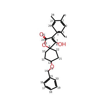 Cc1cc(C)c(C2=C(O)C3(CCC(OCc4ccccc4)CC3)OC2=O)cc1C